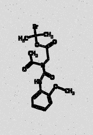 COc1ccccc1NC(=O)N(CC(=O)OC(C)(C)Br)C(C)=O